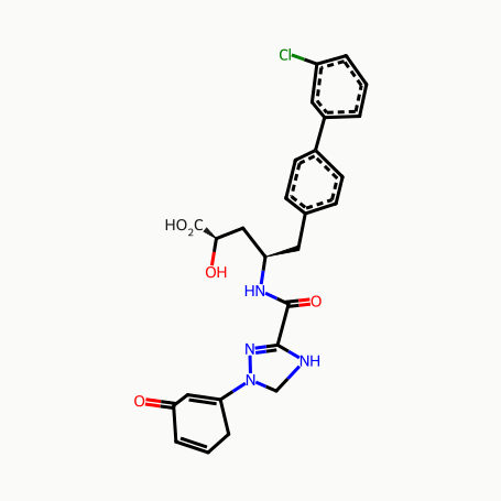 O=C1C=CCC(N2CNC(C(=O)N[C@H](Cc3ccc(-c4cccc(Cl)c4)cc3)C[C@@H](O)C(=O)O)=N2)=C1